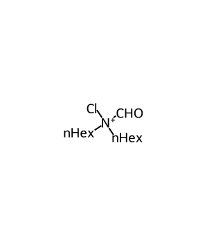 CCCCCC[N+](Cl)(C=O)CCCCCC